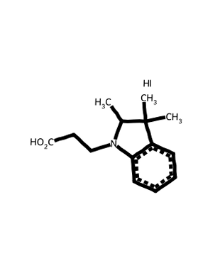 CC1N(CCC(=O)O)c2ccccc2C1(C)C.I